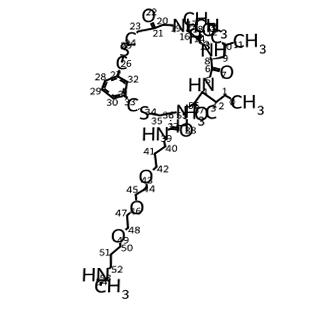 CC[C@H](C)[C@@H]1NC(=O)[C@H](CC(C)C)NC(=O)C(C)(C)NCC(=O)CCSCc2cccc(c2)CSC[C@@H](C(=O)NCCCOCCOCCOCCCNC)NC1=O